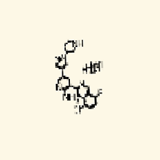 Cl.Cl.Cl.Nc1ncc(-c2cnn([C@H]3CCNC3)c2)cc1-c1cc2c(Cl)ccc(F)c2cn1